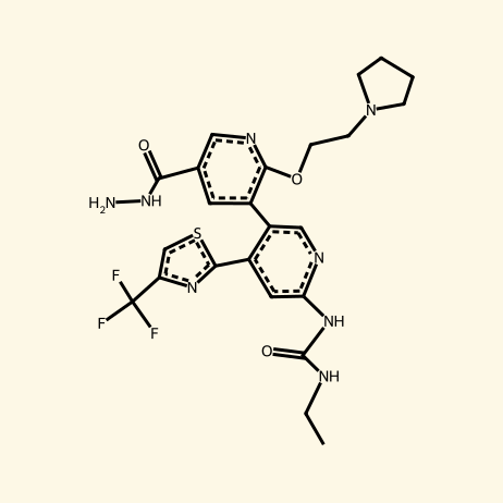 CCNC(=O)Nc1cc(-c2nc(C(F)(F)F)cs2)c(-c2cc(C(=O)NN)cnc2OCCN2CCCC2)cn1